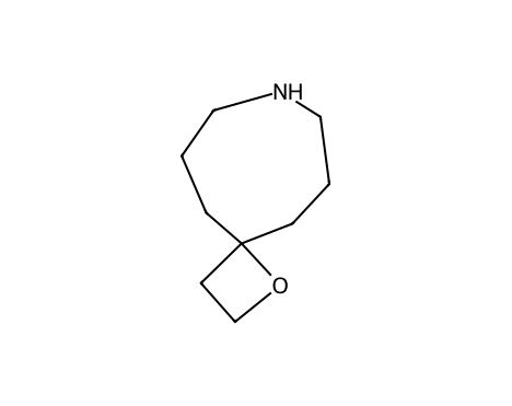 C1CNCCCC2(C1)CCO2